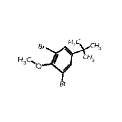 COc1c(Br)cc(C(C)(C)C)cc1Br